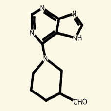 O=CC1CCCN(c2ncnc3nc[nH]c23)C1